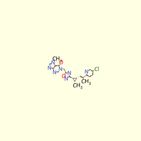 C/C(=C\[C@@H]1[C@H](C)[C@H]1c1noc(Cn2cnc3ncn(C)c3c2=O)n1)c1ccc(Cl)cn1